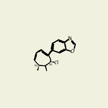 CC1[C@H](Cl)C(c2ccc3ncoc3c2)=CC=C[C@@H]1C